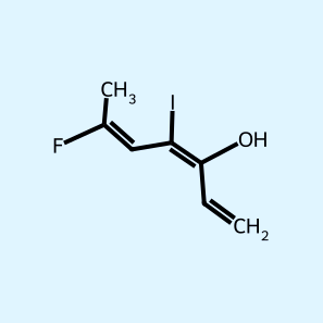 C=C/C(O)=C(I)\C=C(/C)F